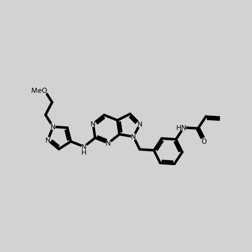 C=CC(=O)Nc1cccc(Cn2ncc3cnc(Nc4cnn(CCOC)c4)nc32)c1